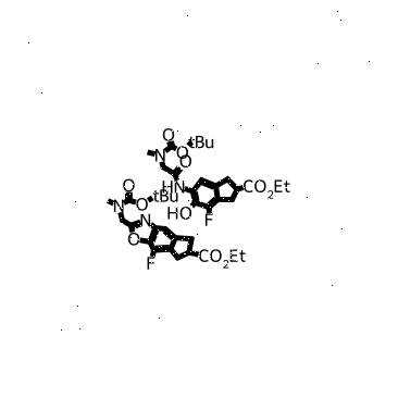 CCOC(=O)C1Cc2cc(NC(=O)CN(C)C(=O)OC(C)(C)C)c(O)c(F)c2C1.CCOC(=O)C1Cc2cc3nc(CN(C)C(=O)OC(C)(C)C)oc3c(F)c2C1